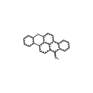 C=c1c2ccccc2c2ccc3c4c(ccc1c42)-c1ccccc1S3